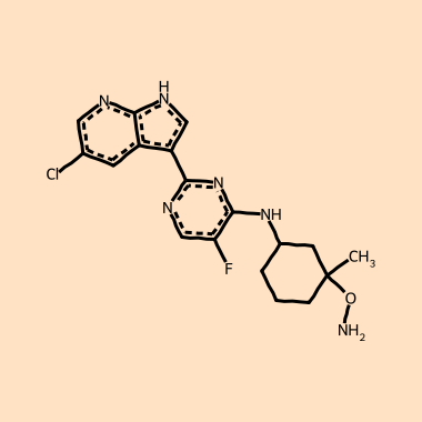 CC1(ON)CCCC(Nc2nc(-c3c[nH]c4ncc(Cl)cc34)ncc2F)C1